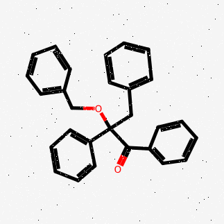 O=C(c1ccccc1)C(Cc1ccccc1)(OCc1ccccc1)c1ccccc1